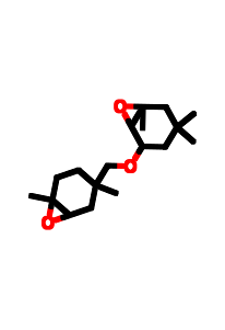 CC1(C)CC(OCC2(C)CCC3(C)OC3C2)C2OC2(C)C1